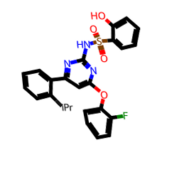 CC(C)c1ccccc1-c1cc(Oc2ccccc2F)nc(NS(=O)(=O)c2ccccc2O)n1